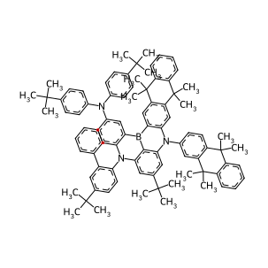 CC(C)(C)c1ccc(N(c2ccc(C(C)(C)C)cc2)c2ccc3c(c2)B2c4cc5c(cc4N(c4ccc6c(c4)C(C)(C)c4ccccc4C6(C)C)c4cc(C(C)(C)C)cc(c42)N3c2ccc(C(C)(C)C)cc2-c2ccccc2)C(C)(C)c2ccccc2C5(C)C)cc1